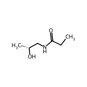 CCC(=O)NC[C@@H](C)O